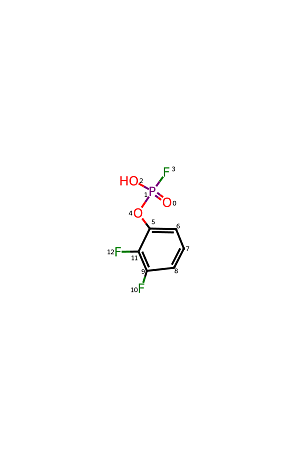 O=P(O)(F)Oc1cccc(F)c1F